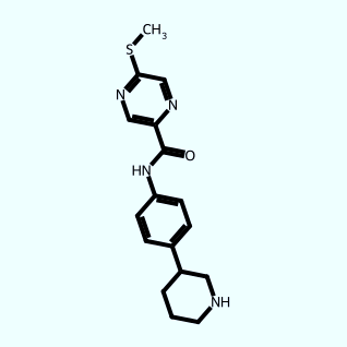 CSc1cnc(C(=O)Nc2ccc(C3CCCNC3)cc2)cn1